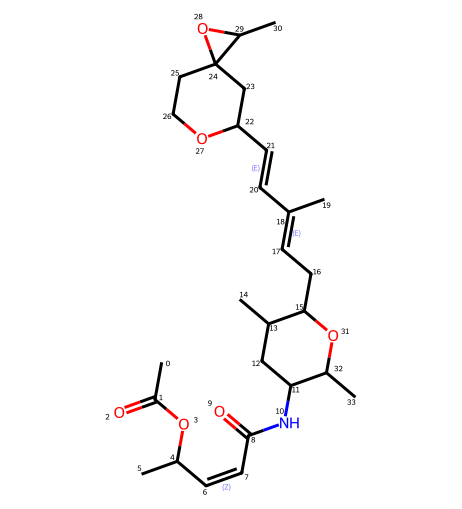 CC(=O)OC(C)/C=C\C(=O)NC1CC(C)C(C/C=C(C)/C=C/C2CC3(CCO2)OC3C)OC1C